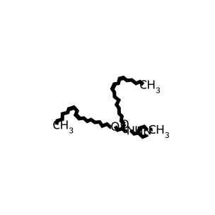 CCCCC/C=C\C/C=C\CCCCCCCCOCC(CNCC1CCN(C)CC1)OCCCCCCCC/C=C\C/C=C\CCCCC